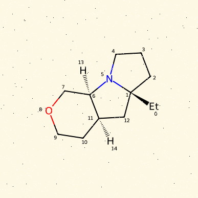 CC[C@]12CCCN1[C@@H]1COCC[C@@H]1C2